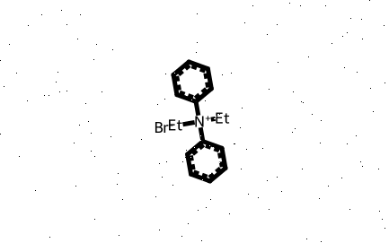 CC[N+](CC)(c1ccccc1)c1ccccc1.[Br-]